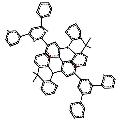 CC1(C)c2ccccc2N(c2cc(-c3nc(-c4cccnc4)cc(-c4ccccn4)n3)ccc2-c2ccc(-c3nc(-c4cccnc4)cc(-c4ccccn4)n3)cc2N2c3ccccc3C(C)(C)c3ccccc32)c2ccccc21